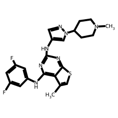 Cc1csc2nc(Nc3cnn(C4CCN(C)CC4)c3)nc(Nc3cc(F)cc(F)c3)c12